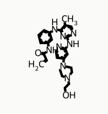 C=CC(=O)Nc1cccc(Nc2nc(Nc3cc(N4CCN(CCO)CC4)ccn3)ncc2C)c1